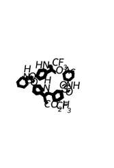 CC(=O)OCc1c(C(F)(F)F)[nH]c2ccccc12.O=C(O)Cc1c(-c2cc(C(F)(F)F)cc(S(=O)(=O)NC3CCCCC3)c2)[nH]c2ccccc12.O=S1(=O)NC2CCCC1C2